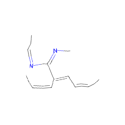 C\C=C/C=C(\C=C/C)C(/N=C\C)=N\C